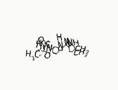 CC[C@@H](C(=O)N(C)c1ccc2cc(-c3n[nH]c4c3CCC(C)(C)C4)[nH]c2c1)N1CCOCC1